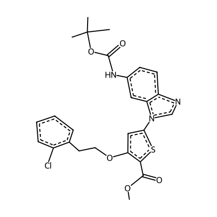 COC(=O)c1sc(-n2cnc3ccc(NC(=O)OC(C)(C)C)cc32)cc1OCCc1ccccc1Cl